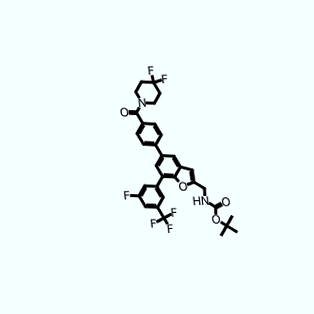 CC(C)(C)OC(=O)NCc1cc2cc(-c3ccc(C(=O)N4CCC(F)(F)CC4)cc3)cc(-c3cc(F)cc(C(F)(F)F)c3)c2o1